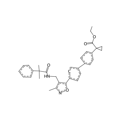 CCOC(=O)C1(c2ccc(-c3ccc(-c4onc(C)c4CNC(=O)C(C)(C)c4ccccc4)cc3)cc2)CC1